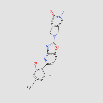 Cc1cc(C(F)(F)F)cc(O)c1-c1ccc2oc(N3Cc4cc(=O)n(C)cc4C3)nc2n1